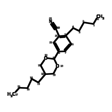 CCCCCc1ccc(C2OCC(CCCCC)CO2)cc1C#N